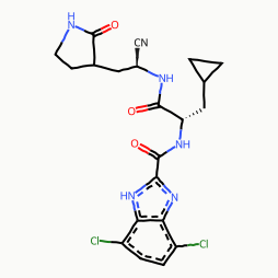 N#C[C@H](CC1CCNC1=O)NC(=O)[C@H](CC1CC1)NC(=O)c1nc2c(Cl)ccc(Cl)c2[nH]1